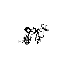 O=C(OCC1(COC(=O)C(F)(F)F)COC2(OC1)C1CCC(C1)C2OC(=O)C(F)(F)S(=O)(=O)O)C(F)(F)F